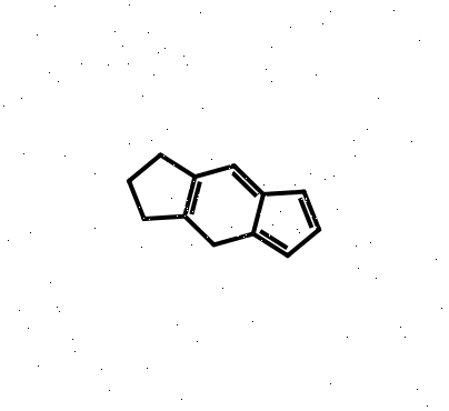 C1=CC2=CC3=C(CCC3)CC2=C1